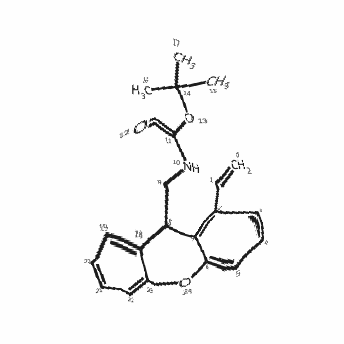 C=Cc1cccc2c1C(CNC(=O)OC(C)(C)C)c1ccccc1O2